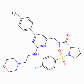 O=C(NCc1cc(-c2ccc(C(F)(F)F)cc2)nc(NCCN2CCOCC2)n1)[C@@H]1CCCN1S(=O)(=O)c1ccc(F)cc1